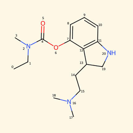 CCN(C)C(=O)Oc1cccc2c1C(CCN(C)C)CN2